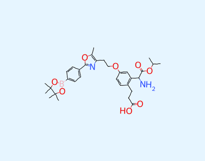 Cc1oc(-c2ccc(B3OC(C)(C)C(C)(C)O3)cc2)nc1CCOc1ccc(CCC(=O)O)c(C(N)C(=O)OC(C)C)c1